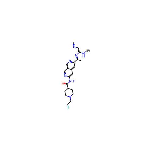 C=N/C=C(\N=C(/C)c1cc2cc(NC(=O)C3CCN(CCF)CC3)ncc2cn1)NC(C)C